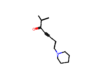 CC(C)C(=O)C#CCCN1CCCCC1